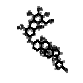 CO[C@H]1C[C@H](O[C@H]2CC[C@]3(C=O)[C@H]4CC[C@]5(C)[C@@H](C6=CC(=O)OC6)CC[C@]5(O)[C@@H]4CC[C@]3(O)C2)O[C@H](C)[C@H]1O[C@@H]1O[C@H](CO)[C@@H](O)[C@H](O)[C@H]1O